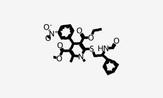 CCOC(=O)C1=C(SCC(NC=O)c2ccccc2)N(C)C(C)=C(C(=O)OC)C1c1cccc([N+](=O)[O-])c1